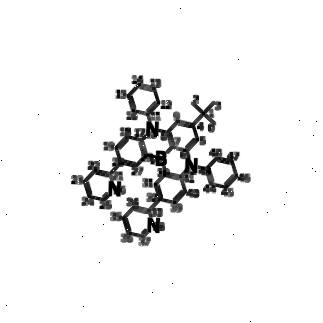 CC(C)(C)c1cc2c3c(c1)N(c1ccccc1)c1ccc(-c4ccccn4)cc1B3c1cc(-c3ccccn3)ccc1N2c1ccccc1